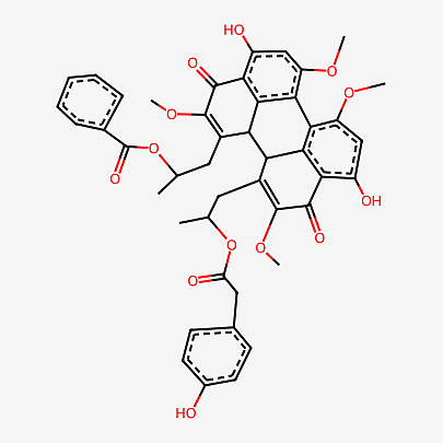 COC1=C(CC(C)OC(=O)Cc2ccc(O)cc2)C2c3c(c(O)cc(OC)c3-c3c(OC)cc(O)c4c3C2C(CC(C)OC(=O)c2ccccc2)=C(OC)C4=O)C1=O